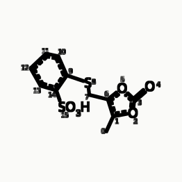 Cc1oc(=O)oc1CSc1ccccc1S(=O)(=O)O